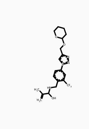 C=C(C)C(O)NCc1ccc(-n2cc(COC3CCCCO3)nn2)cc1C(F)(F)F